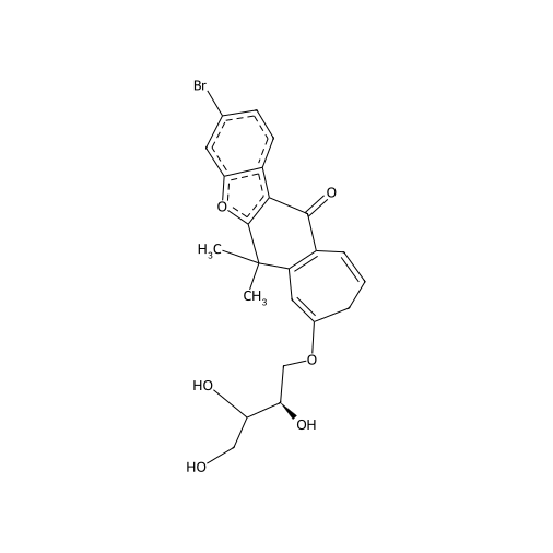 CC1(C)C2=C(C=CCC(OC[C@@H](O)C(O)CO)=C2)C(=O)c2c1oc1cc(Br)ccc21